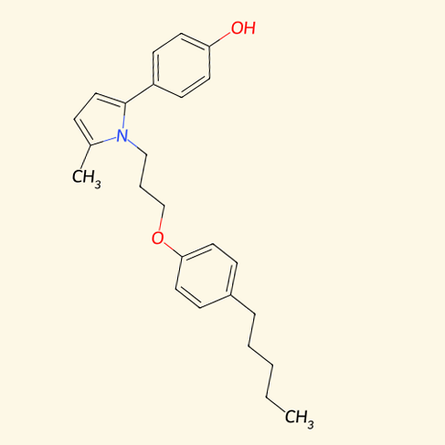 CCCCCc1ccc(OCCCn2c(C)ccc2-c2ccc(O)cc2)cc1